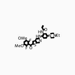 C=CC(=O)Nc1cc(N2CCN(CC)CC2)ccc1Nc1cc2cc(C(=O)c3c(F)c(OC)cc(OC)c3F)sc2cn1